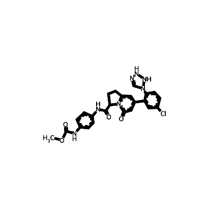 COC(=O)Nc1ccc(NC(=O)C2CCc3cc(-c4cc(Cl)ccc4N4C=NNN4)cc(=O)n32)cc1